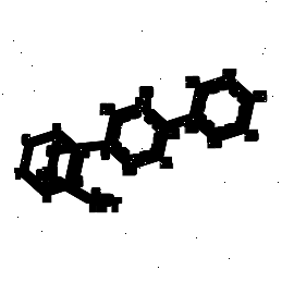 CCCN1C2C=CC(CC2)C1c1ccc(-c2ccccc2)nc1